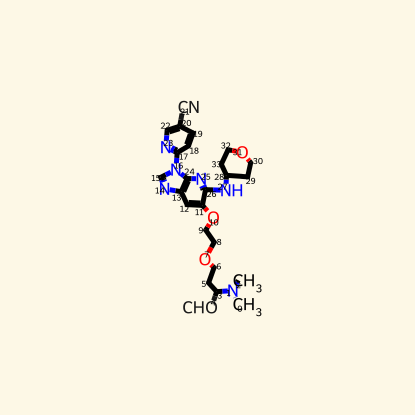 CN(C)C(C=O)CCOCCOc1cc2ncn(-c3ccc(C#N)cn3)c2nc1NC1CCOCC1